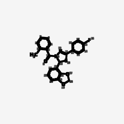 Cc1ccccc1C(=O)N1N=C(c2ccc(F)cc2)SC1c1cccc2c1OCO2